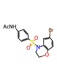 CC(=O)Nc1ccc(S(=O)(=O)N2CCOc3ccc(Br)cc32)cc1